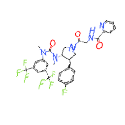 CN(C(=O)N(C)[C@@H]1CN(C(=O)CNC(=O)c2ccccn2)C[C@H]1c1ccc(F)cc1)c1cc(C(F)(F)F)cc(C(F)(F)F)c1